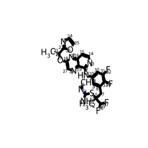 C/N=C(/N)S[C@](C)(Cc1cc(Nc2nccc3nc(O[C@H](C)c4ncco4)cnc23)cc(F)c1F)C(F)F